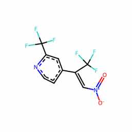 O=[N+]([O-])C=C(c1ccnc(C(F)(F)F)c1)C(F)(F)F